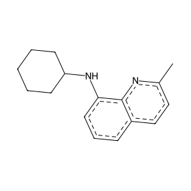 Cc1ccc2cccc(NC3CCCCC3)c2n1